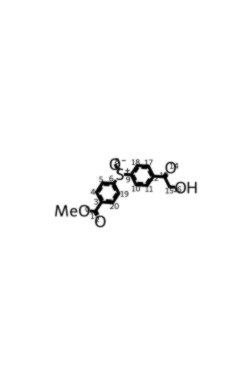 COC(=O)c1ccc([S+]([O-])c2ccc(C(=O)CO)cc2)cc1